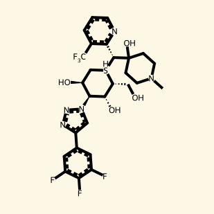 CN1CCC(O)([C@@H](c2ncccc2C(F)(F)F)[SH]2C[C@H](O)[C@H](n3cc(-c4cc(F)c(F)c(F)c4)nn3)[C@@H](O)[C@H]2CO)CC1